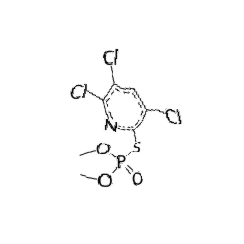 COP(=O)(OC)Sc1nc(Cl)c(Cl)cc1Cl